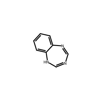 [C]1=NC=Nc2ccccc2N1